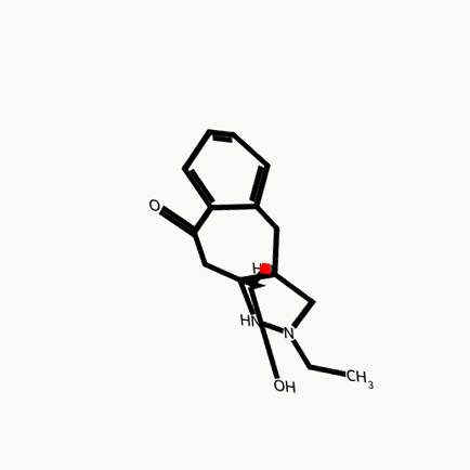 CCN1CC23Cc4ccccc4C(=O)CC2(CC(O)=CN3)N1